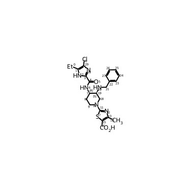 CCc1[nH]c(C(=O)N[C@@H]2CCN(c3nc(C)c(C(=O)O)s3)C[C@@H]2NCc2ccccc2)nc1Cl